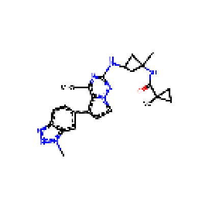 COc1nc(NC2CC(C)(NC(=O)C3(C#N)CC3)C2)nn2ccc(-c3ccc4nnn(C)c4c3)c12